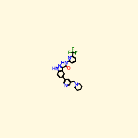 O=C(Nc1cccc(C(F)(F)F)n1)c1n[nH]c2ccc(-c3cncc(CN4CCCCC4)c3)cc12